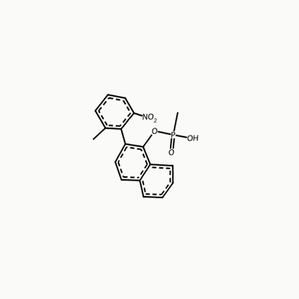 Cc1cccc([N+](=O)[O-])c1-c1ccc2ccccc2c1OP(C)(=O)O